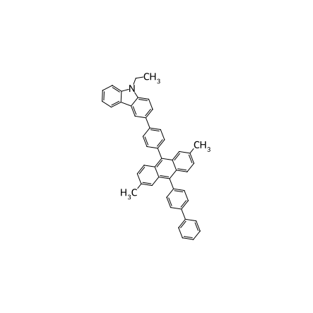 CCn1c2ccccc2c2cc(-c3ccc(-c4c5ccc(C)cc5c(-c5ccc(-c6ccccc6)cc5)c5ccc(C)cc45)cc3)ccc21